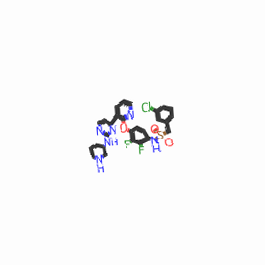 O=S(=O)(Cc1cccc(Cl)c1)Nc1ccc(Oc2ncccc2-c2ccnc(NC3CCCNC3)n2)c(F)c1F